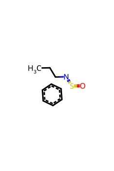 CCCN=S=O.c1ccccc1